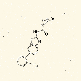 Cc1ccccc1-c1ccc2nc(NC(=O)[C@@H]3C[C@@H]3F)cn2c1